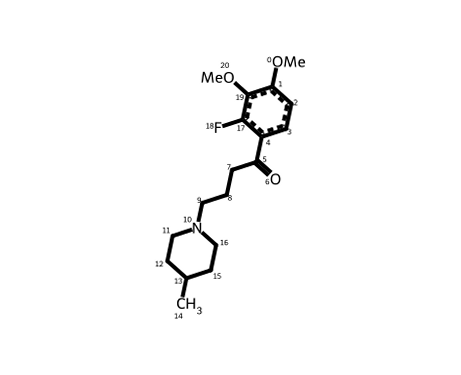 COc1ccc(C(=O)CCCN2CCC(C)CC2)c(F)c1OC